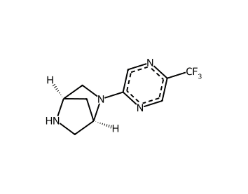 FC(F)(F)c1cnc(N2C[C@H]3C[C@@H]2CN3)cn1